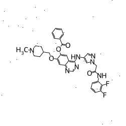 CN1CCC(COc2cc3ncnc(Nc4cnn(CC(=O)Nc5cccc(F)c5F)c4)c3cc2OC(=O)c2ccccc2)CC1